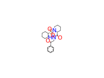 O=C(CNC(=O)[C@@H]1CCCCN1S(=O)(=O)C1CCCCC1)c1ccccc1